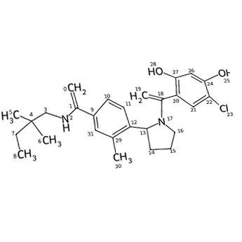 C=C(NCC(C)(C)CC)c1ccc(C2CCCN2C(=C)c2cc(Cl)c(O)cc2O)c(C)c1